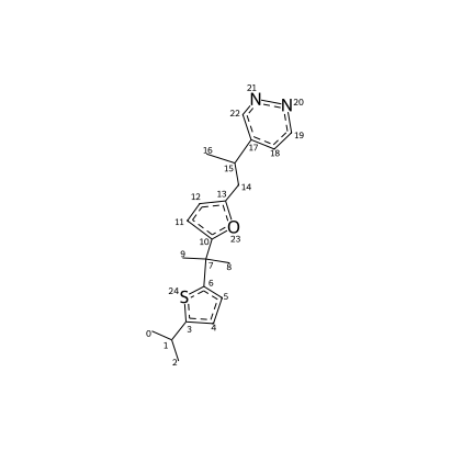 CC(C)c1ccc(C(C)(C)c2ccc(CC(C)c3ccnnc3)o2)s1